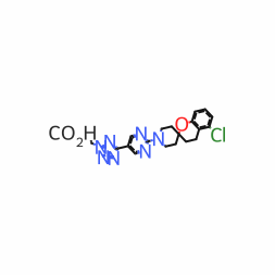 O=C(O)Cn1nnc(-c2cnc(N3CCC4(CCc5c(Cl)cccc5O4)CC3)nc2)n1